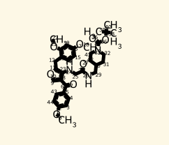 COc1ccc(C(=O)c2coc(Cc3ccc(OC)cc3OC)c2NCC(=O)NCC2CCN(C(=O)OC(C)(C)C)CC2)cc1